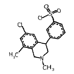 Cc1cc(Cl)cc2c1CN(C)CC2c1cccc(S(=O)(=O)Cl)c1